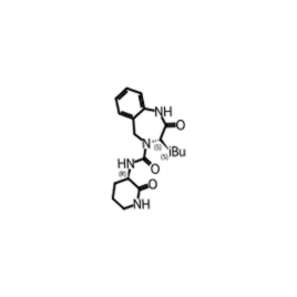 CC[C@H](C)[C@H]1C(=O)Nc2ccccc2CN1C(=O)N[C@@H]1CCCNC1=O